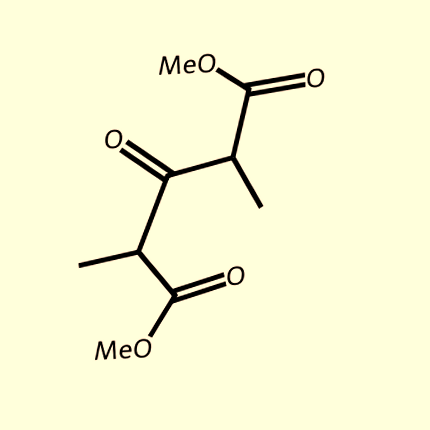 COC(=O)C(C)C(=O)C(C)C(=O)OC